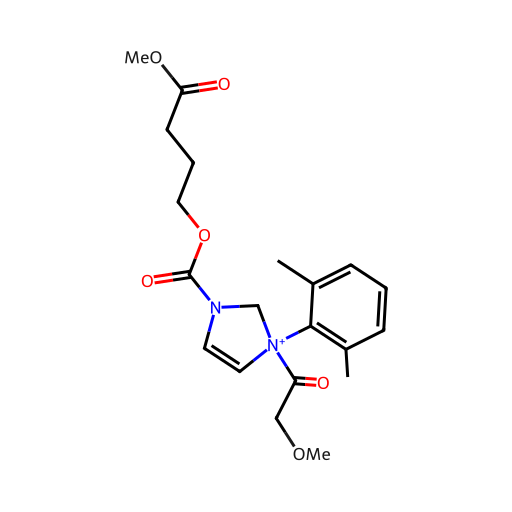 COCC(=O)[N+]1(c2c(C)cccc2C)C=CN(C(=O)OCCCC(=O)OC)C1